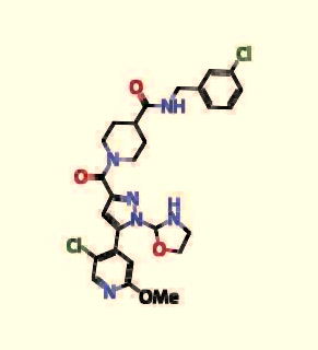 COc1cc(-c2cc(C(=O)N3CCC(C(=O)NCc4cccc(Cl)c4)CC3)nn2C2NCCO2)c(Cl)cn1